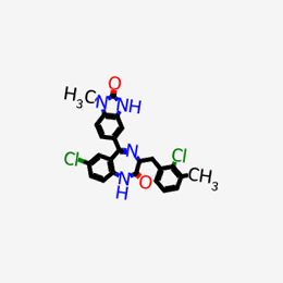 Cc1cccc(CC2N=C(c3ccc4c(c3)[nH]c(=O)n4C)c3cc(Cl)ccc3NC2=O)c1Cl